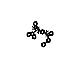 c1ccc(-c2cccc(-c3nc(-c4ccc(-c5nc(-c6cc7ccccc7c7ccccc67)c6oc7ccccc7c6n5)cc4)nc4ccccc34)c2)cc1